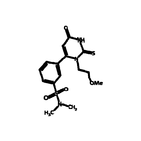 COCCn1c(-c2cccc(S(=O)(=O)N(C)C)c2)cc(=O)[nH]c1=S